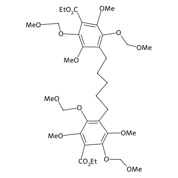 CCOC(=O)c1c(OC)c(OCOC)c(CCCCCc2c(OCOC)c(OC)c(C(=O)OCC)c(OCOC)c2OC)c(OC)c1OCOC